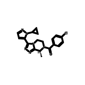 C[C@@H]1c2nnc(-c3ccnn3C3CC3)n2CCN1C(=O)c1ccc(Cl)cc1